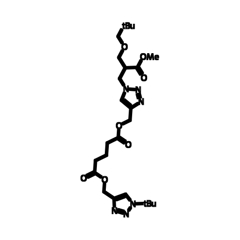 COC(=O)C(COCC(C)(C)C)Cn1cc(COC(=O)CCCC(=O)OCc2cn(C(C)(C)C)nn2)nn1